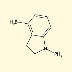 Bc1cccc2c1CCN2P